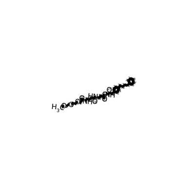 COCCOCCOCC(=O)NCCCC(=O)NCCC(=O)ONC(=O)Cc1ccc(CCCCc2ccccc2)cc1